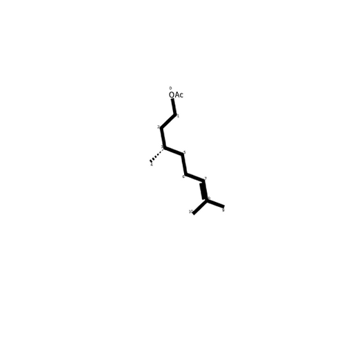 CC(=O)OCC[C@@H](C)CCC=C(C)C